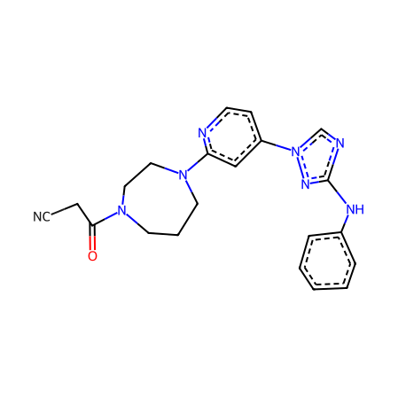 N#CCC(=O)N1CCCN(c2cc(-n3cnc(Nc4ccccc4)n3)ccn2)CC1